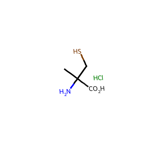 CC(N)(CS)C(=O)O.Cl